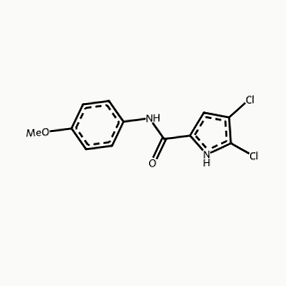 COc1ccc(NC(=O)c2cc(Cl)c(Cl)[nH]2)cc1